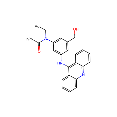 CCCC(=O)N(CC(C)=O)c1cc(CO)cc(Nc2c3ccccc3nc3ccccc23)c1